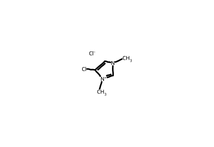 Cn1cc(Cl)[n+](C)c1.[Cl-]